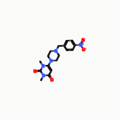 Cn1c(N2CCN(Cc3ccc([N+](=O)[O-])cc3)CC2)cc(=O)n(C)c1=O